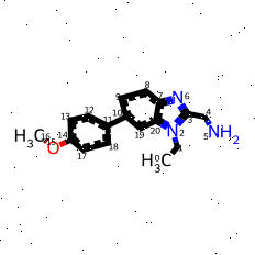 CCn1c(CN)nc2ccc(-c3ccc(OC)cc3)cc21